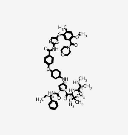 CC[C@@H](NC(=O)[C@@H]1C[C@H](NC2CCC(Oc3ccc(C(=O)Nc4ncc(Sc5cc(C(=O)N6CCOCC6)c(OC)cc5C)s4)cc3)CC2)CN1C(=O)[C@@H](NC(=O)[C@H](C)NC)C(C)(C)C)c1ccccc1